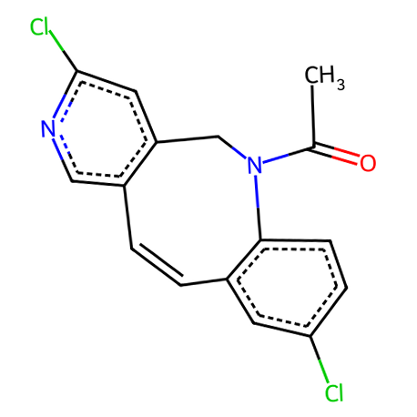 CC(=O)N1Cc2cc(Cl)ncc2/C=C\c2cc(Cl)ccc21